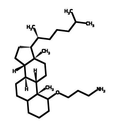 CC(C)CCC[C@@H](C)[C@H]1CC[C@H]2[C@@H]3CCC4CCCC(OCCCN)[C@]4(C)[C@H]3CC[C@]12C